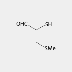 CSCC(S)C=O